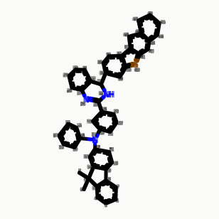 CC1(C)c2ccccc2-c2ccc(N(c3ccccc3)c3cccc(C4=Nc5ccccc5C(c5ccc6c(c5)sc5cc7ccccc7cc56)N4)c3)cc21